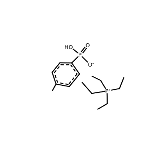 CC[P+](CC)(CC)CC.Cc1ccc(P(=O)([O-])O)cc1